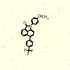 COc1ccc(N2C(=O)c3cccc4c(-c5ccc(C(F)(F)F)cc5)ccc2c34)cc1